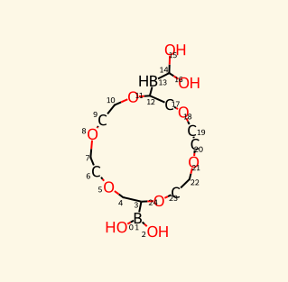 OB(O)C1COCCOCCOC(BC(O)O)COCCOCCO1